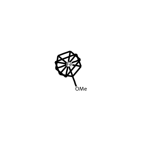 CO[C]12[CH]3[CH]4[CH]5[CH]1[Fe]45321678[CH]2[CH]1[CH]6[CH]7[CH]28